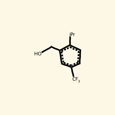 CC(C)c1ccc(C(F)(F)F)cc1[CH]O